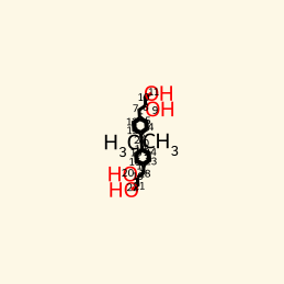 CC(C)(c1ccc(CC(O)CO)cc1)c1ccc(CC(O)CO)cc1